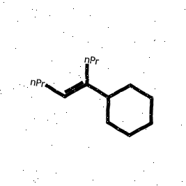 CCCC=C(CCC)C1CCCCC1